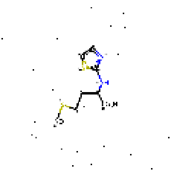 O=NSCCC(Nc1nccs1)C(=O)O